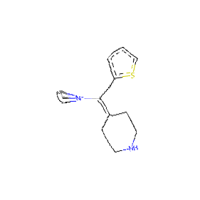 [C-]#[N+]C(=C1CCNCC1)c1cccs1